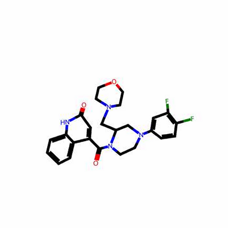 O=C(c1cc(=O)[nH]c2ccccc12)N1CCN(c2ccc(F)c(F)c2)CC1CN1CCOCC1